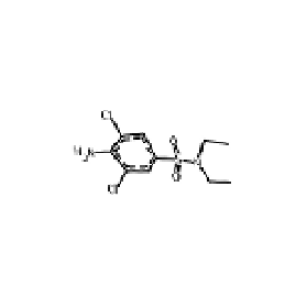 CCN(CC)S(=O)(=O)c1cc(Cl)c(N)c(Cl)c1